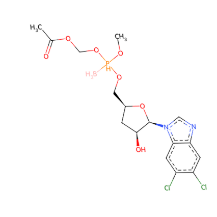 B[PH](OC)(OCOC(C)=O)OC[C@@H]1C[C@H](O)[C@H](n2cnc3cc(Cl)c(Cl)cc32)O1